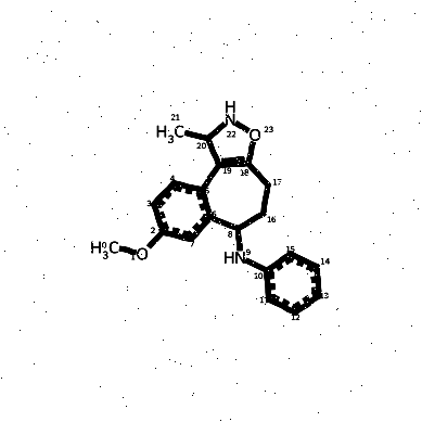 COc1ccc2c(c1)C(Nc1ccccc1)CCC1=C2C(C)NO1